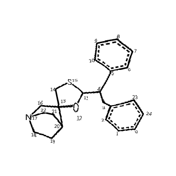 c1ccc(C(c2ccccc2)C2OC3(CS2)CN2CCC3CC2)cc1